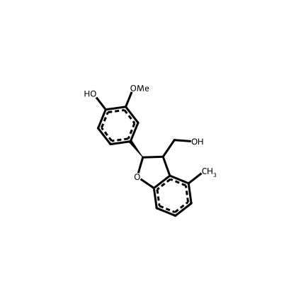 COc1cc([C@@H]2Oc3cccc(C)c3C2CO)ccc1O